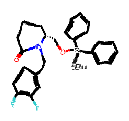 CC(C)(C)[Si](OC[C@H]1CCCC(=O)N1Cc1ccc(F)c(F)c1)(c1ccccc1)c1ccccc1